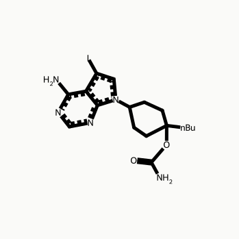 CCCCC1(OC(N)=O)CCC(n2cc(I)c3c(N)ncnc32)CC1